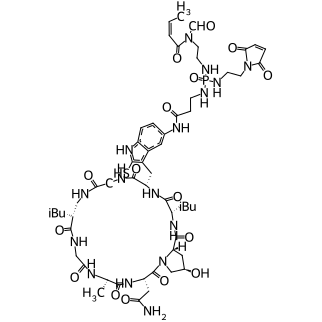 C/C=C\C(=O)N(C=O)CCNP(=O)(NCCC(=O)Nc1ccc2[nH]c(S)c(C[C@@H]3NC(=O)[C@H](C(C)CC)NC(=O)[C@@H]4C[C@@H](O)CN4C(=O)[C@H](CC(N)=O)NC(=O)[C@H](C)NC(=O)CNC(=O)[C@H]([C@@H](C)CC)CNC(=O)CNC3=O)c2c1)NCCN1C(=O)C=CC1=O